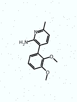 COc1cccc(-c2ccc(C)nc2N)c1OC